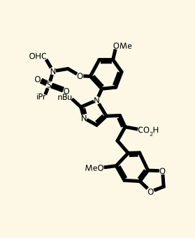 CCCCc1ncc(/C=C(\Cc2cc3c(cc2OC)OCO3)C(=O)O)n1-c1ccc(OC)cc1OCN(C=O)S(=O)(=O)C(C)C